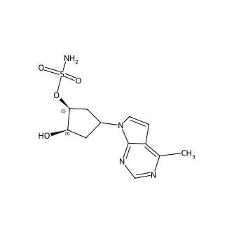 Cc1ncnc2c1ccn2C1C[C@@H](O)[C@@H](OS(N)(=O)=O)C1